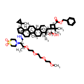 COCCOCCOCCO[C@H](C)[C@@H](CN[C@]12CC[C@@H](C3(C)CC3)[C@@H]1[C@H]1CC[C@@H]3[C@]4(C)CC[C@H]([C@@]5(C(=O)O)C[C@@H](C(=O)OCc6ccccc6)C5(C)C)C(C)(C)[C@H]4CC[C@@]3(C)[C@]1(C)CC2)N1CCS(=O)(=O)CC1